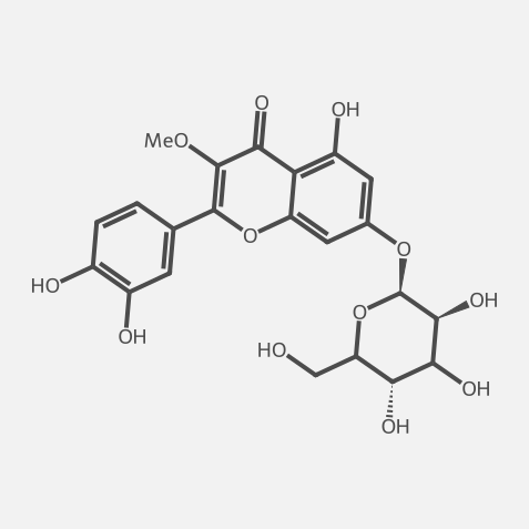 COc1c(-c2ccc(O)c(O)c2)oc2cc(O[C@@H]3OC(CO)[C@@H](O)C(O)[C@@H]3O)cc(O)c2c1=O